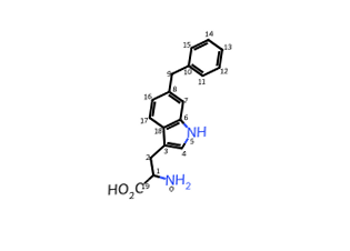 NC(Cc1c[nH]c2cc(Cc3ccccc3)ccc12)C(=O)O